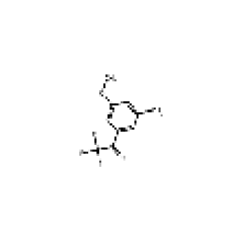 COc1cc(C)cc(C(=O)C(F)(F)F)c1